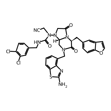 N#CCN(C(=O)NCc1ccc(Cl)c(Cl)c1)N1CC(=O)N2[C@@H](Cc3ccc4occc4c3)C(=O)N(Cc3cccc4sc(N)nc34)C[C@@H]21